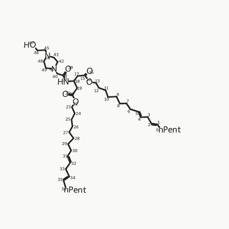 CCCCCC=CCC=CCCCCCCCCOC(=O)CC(CC(=O)OCCCCCCCCC=CCC=CCCCCC)NC(=O)CN1CCN(CCO)CC1